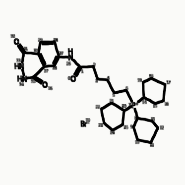 O=C(CCCCC[P+](C1CCCCC1)(C1CCCCC1)C1CCCCC1)Nc1ccc2c(=O)[nH][nH]c(=O)c2c1.[Br-]